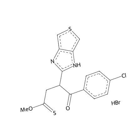 Br.COC(=S)CC(C(=O)c1ccc(Cl)cc1)c1nc2cscc2[nH]1